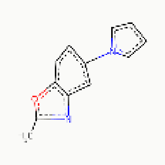 Cc1nc2cc(-n3cccc3)ccc2o1